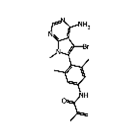 C=C(C)C(=O)Nc1cc(C)c(-c2c(Br)c3c(N)ncnc3n2C)c(C)c1